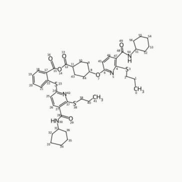 CCCSc1nc(OC2CCC(C(=O)OC(=O)c3ccccc3Sc3ccc(C(=O)NC4CCCCC4)c(SCCC)n3)CC2)ccc1C(=O)NC1CCCCC1